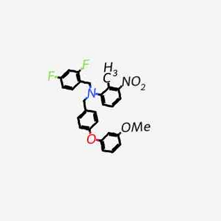 COc1cccc(Oc2ccc(CN(Cc3ccc(F)cc3F)c3cccc([N+](=O)[O-])c3C)cc2)c1